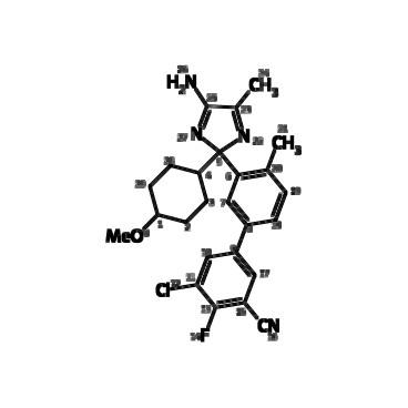 COC1CCC(C2(c3cc(-c4cc(Cl)c(F)c(C#N)c4)ccc3C)N=C(C)C(N)=N2)CC1